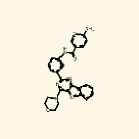 Nc1ccc(C(=O)Nc2cccc(-c3nc(N4CCOCC4)c4oc5ccccc5c4n3)c2)cn1